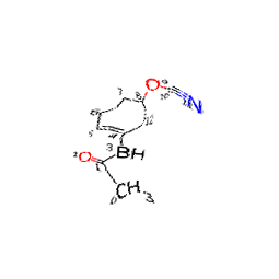 CC(=O)BC1=CCCC(OC#N)C1